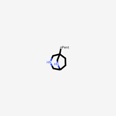 CCCCCC12CCC(CNC1)NC2